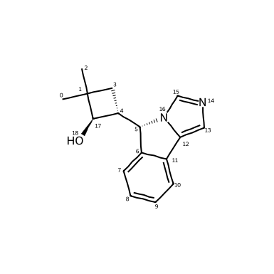 CC1(C)C[C@H]([C@H]2c3ccccc3-c3cncn32)[C@H]1O